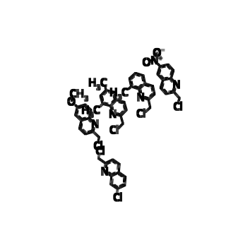 COc1ccc2nc(CCl)ccc2c1.Cc1cc(C)c2nc(CCl)ccc2c1.Cc1cccc2ccc(CCl)nc12.ClCc1ccc2ccc(Cl)cc2n1.O=[N+]([O-])c1ccc2nc(CCl)ccc2c1